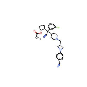 CC(=O)O[C@@H]1CCC[C@H]1C(C#N)(c1cccc(F)c1)C1CCN(CC2CN(c3ccc(C#N)cc3)C2)CC1